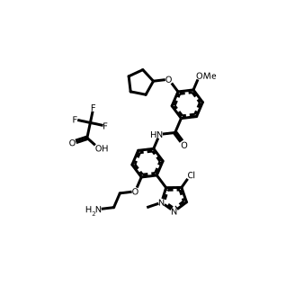 COc1ccc(C(=O)Nc2ccc(OCCN)c(-c3c(Cl)cnn3C)c2)cc1OC1CCCC1.O=C(O)C(F)(F)F